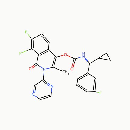 Cc1c(OC(=O)N[C@H](c2cccc(F)c2)C2CC2)c2ccc(F)c(F)c2c(=O)n1-c1cnccn1